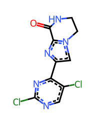 O=C1NCCn2cc(-c3nc(Cl)ncc3Cl)nc21